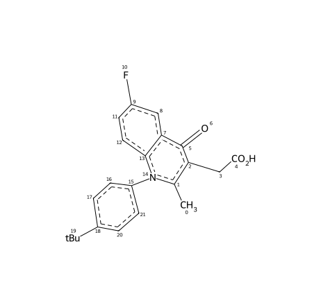 Cc1c(CC(=O)O)c(=O)c2cc(F)ccc2n1-c1ccc(C(C)(C)C)cc1